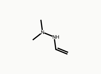 C=CNN(C)C